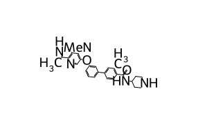 CNc1cc(Oc2cccc(-c3ccc(C(=O)NC4CCNCC4)c(C)c3)c2)cnc1C(C)=N